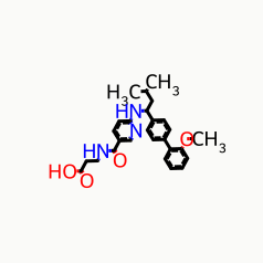 COc1ccccc1-c1ccc(C(CC(C)C)Nc2ccc(C(=O)NCCC(=O)O)cn2)cc1